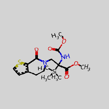 COC(=O)NC(CN1CCc2ccsc2C1=O)(C(=O)OC)[Si](C)(C)C